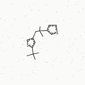 CC(C)(C)c1cc(CC(C)(C)c2ccsc2)cs1